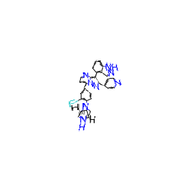 Fc1cc(-c2ccnc3c(-c4cccc5[nH]ncc45)c(-c4ccncc4)nn23)ccc1N1C[C@@H]2C[C@H]1CN2